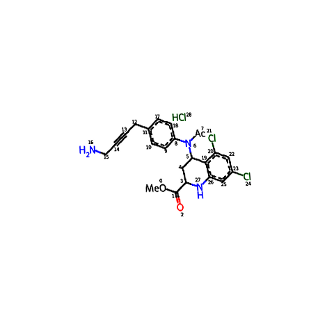 COC(=O)C1CC(N(C(C)=O)c2ccc(CC#CCN)cc2)c2c(Cl)cc(Cl)cc2N1.Cl